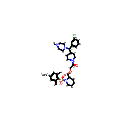 COc1cc(C)c(S(=O)(=O)N2CCCCC2COCC(=O)N2CCC(C(c3cccc(F)c3)N3CCN(C)CC3)CC2)c(C)c1